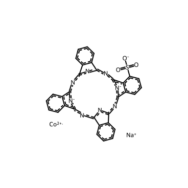 O=S(=O)([O-])c1cccc2c3nc4nc(nc5[n-]c(nc6nc(nc([n-]3)c12)-c1ccccc1-6)c1ccccc51)-c1ccccc1-4.[Co+2].[Na+]